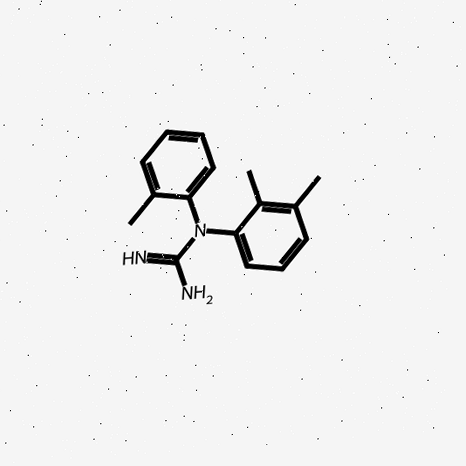 Cc1ccccc1N(C(=N)N)c1cccc(C)c1C